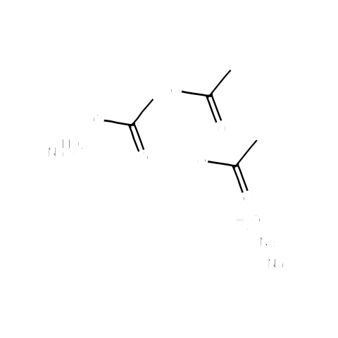 CC(=O)[O-].CC(=O)[O-].CC(=O)[O-].O.O.[Na+].[Na+].[Na+]